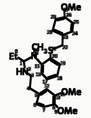 CCC(NCCc1ccc(OC)c(OC)c1)N(C)c1ccccc1SCc1ccc(OC)cc1